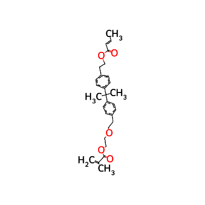 C=C(C)C(=O)OCCOCCc1ccc(C(C)(C)c2ccc(CCOC(=O)C=CC)cc2)cc1